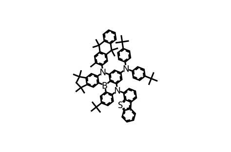 Cc1cc2c(cc1N1c3cc4c(cc3B3c5cc(C(C)(C)C)ccc5N(c5cccc6c5sc5ccccc56)c5cc(N(c6ccc(C(C)(C)C)cc6)c6ccc(C(C)(C)C)cc6)cc1c53)C(C)(C)CC4(C)C)C(C)(C)c1ccccc1C2(C)C